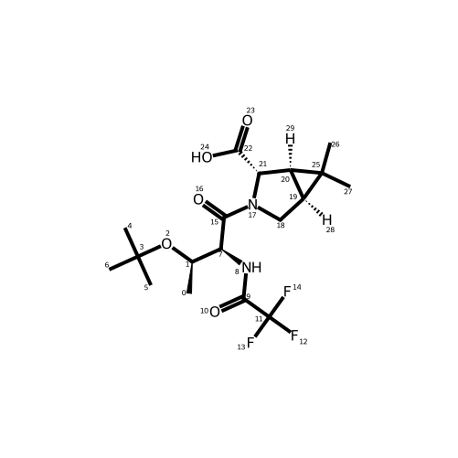 C[C@@H](OC(C)(C)C)[C@H](NC(=O)C(F)(F)F)C(=O)N1C[C@H]2[C@@H]([C@H]1C(=O)O)C2(C)C